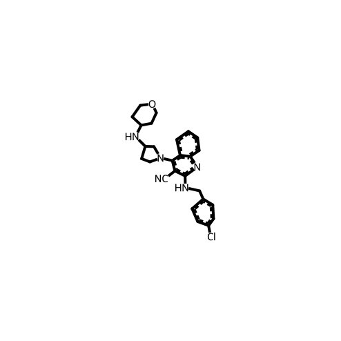 N#Cc1c(NCc2ccc(Cl)cc2)nc2ccccc2c1N1CCC(NC2CCOCC2)C1